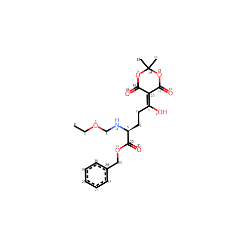 CCOCN[C@@H](CCC(O)=C1C(=O)OC(C)(C)OC1=O)C(=O)OCc1ccccc1